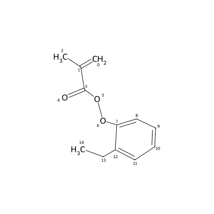 C=C(C)C(=O)OOc1ccccc1CC